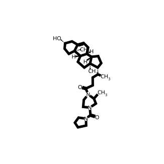 CC(CCC(=O)N1CCN(C(=O)N2CCCC2)CC1C)[C@H]1CC[C@H]2[C@@H]3CC=C4C[C@@H](O)CC[C@]4(C)[C@H]3CC[C@]12C